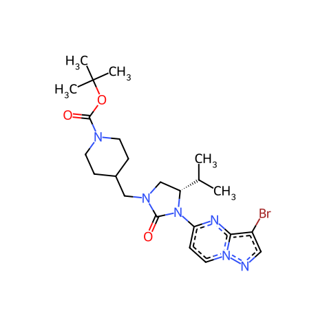 CC(C)[C@H]1CN(CC2CCN(C(=O)OC(C)(C)C)CC2)C(=O)N1c1ccn2ncc(Br)c2n1